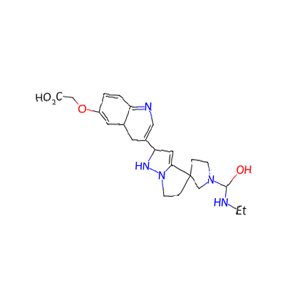 CCNC(O)N1CCC2(CCN3NC(C4=CN=C5C=CC(OCC(=O)O)=CC5C4)C=C32)C1